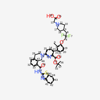 Cc1c(OCC(F)(F)CC2CCN(CC(=O)O)CC2)cccc1-c1ccc(N2CCc3cccc(C(=O)Nc4nc5ccccc5s4)c3C2)nc1C(=O)OC(C)(C)C